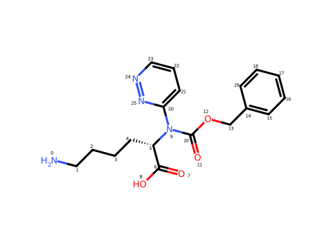 NCCCC[C@@H](C(=O)O)N(C(=O)OCc1ccccc1)c1cccnn1